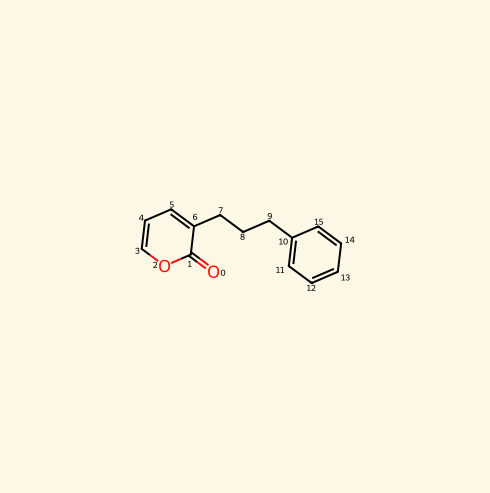 O=c1occcc1CCCc1ccccc1